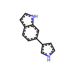 c1cc(-c2ccc3cc[nH]c3c2)c[nH]1